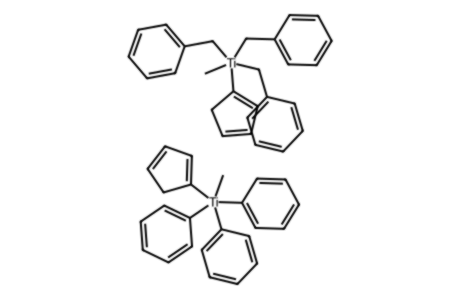 [CH3][Ti]([CH2]c1ccccc1)([CH2]c1ccccc1)([CH2]c1ccccc1)[C]1=CC=CC1.[CH3][Ti]([C]1=CC=CC1)([c]1ccccc1)([c]1ccccc1)[c]1ccccc1